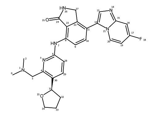 CN(C)Cc1nc(Nc2ccc(-c3cnc4cc(F)ccn34)c3c2C(=O)NC3)ccc1[C@H]1CCCO1